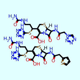 NC(=O)NCCC(Sc1nnn[nH]1)C1=C(C(=O)O)N2C(=O)C(NC(=O)Cc3cccs3)[C@@H]2SC1.NC(=O)NCCC(Sc1nnn[nH]1)C1=C(C(=O)O)N2C(=O)C(NC(=O)Cn3cnnn3)[C@@H]2SC1